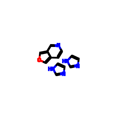 c1c[nH]cn1.c1c[nH]cn1.c1cc2cocc2cn1